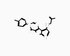 C=C(C)CNc1ccnc2sc3c(=O)n(-c4ccc(C)cc4)cnc3c12